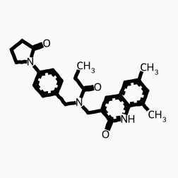 CCC(=O)N(Cc1ccc(N2CCCC2=O)cc1)Cc1cc2cc(C)cc(C)c2[nH]c1=O